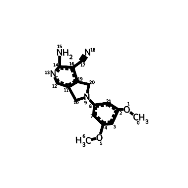 COc1cc(OC)cc(N2Cc3cnc(N)c(C#N)c3C2)c1